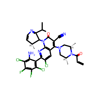 C=CC(=O)N1[C@H](C)CN(c2c(C#N)c(=O)n(C3C(C(C)C)=NC=C[C@H]3C)c3nc(-c4c(N)c(Cl)c(F)c(F)c4Cl)c(Cl)cc23)C[C@@H]1C